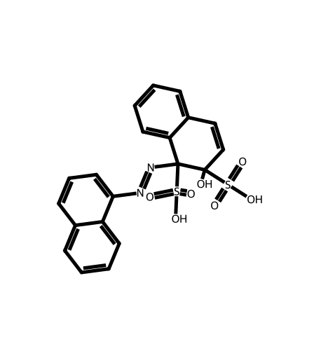 O=S(=O)(O)C1(O)C=Cc2ccccc2C1(/N=N/c1cccc2ccccc12)S(=O)(=O)O